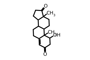 CC12CCC3C(CCC4=CC(=O)CC(O)C43C)C1CCC2=O